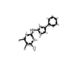 Cc1nc(Nc2nc(-c3ccccc3)cs2)nc(Cl)c1C